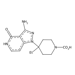 CCC1(n2nc(N)c3c(=O)[nH]ccc32)CCN(C(=O)O)CC1